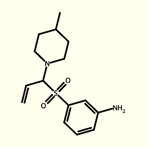 C=CC(N1CCC(C)CC1)S(=O)(=O)c1cccc(N)c1